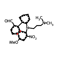 COc1cc([N+](=O)[O-])c(N(CCCN(C)C)c2ccccc2-c2ccccc2C=O)cn1